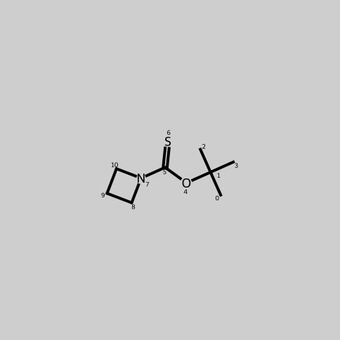 CC(C)(C)OC(=S)N1CCC1